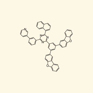 c1cncc(-c2cccc(-c3nc(-c4cc(-c5ccc6oc7ccccc7c6c5)cc(-c5ccc6oc7ccccc7c6c5)c4)nc(-c4cccc5ccccc45)n3)c2)c1